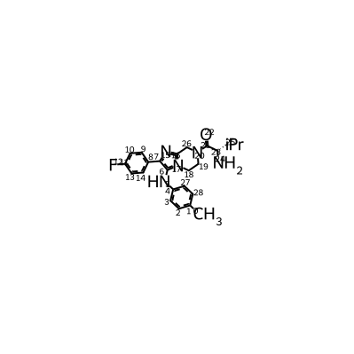 Cc1ccc(Nc2c(-c3ccc(F)cc3)nc3n2CCN(C(=O)[C@@H](N)C(C)C)C3)cc1